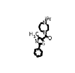 Cc1nc(-c2ccccc2)sc1C(=O)N1CCCN(C(C)C)CC1